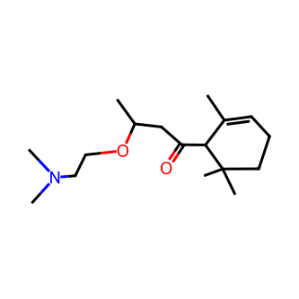 CC1=CCCC(C)(C)C1C(=O)CC(C)OCCN(C)C